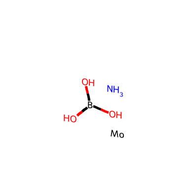 N.OB(O)O.[Mo]